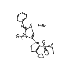 Br.CCCn1c(-c2ccc(Cl)c(S(=O)(=O)N(C)C)c2)csc1=Nc1ccccc1